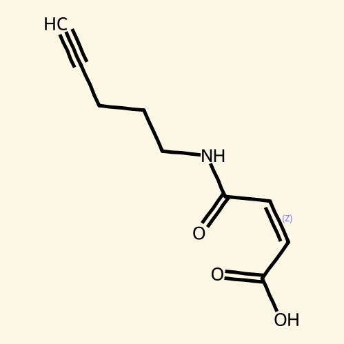 C#CCCCNC(=O)/C=C\C(=O)O